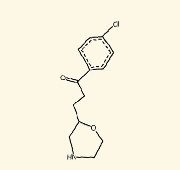 O=C(CCC1CNCCO1)c1ccc(Cl)cc1